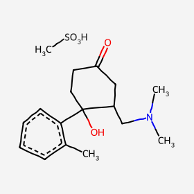 CS(=O)(=O)O.Cc1ccccc1C1(O)CCC(=O)CC1CN(C)C